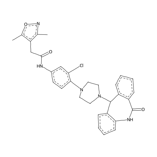 Cc1noc(C)c1CC(=O)Nc1ccc(N2CCN(C3c4ccccc4NC(=O)c4ccccc43)CC2)c(Cl)c1